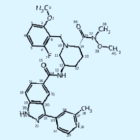 COc1cccc(F)c1CN1C[C@H](NC(=O)c2ccc3[nH]nc(-c4ccnc(C)c4)c3c2)CC[C@H]1C(=O)N(C)OC